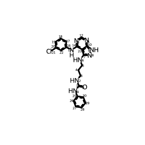 O=C(NCCCNc1n[nH]c2ncnc(Nc3cccc(Cl)c3)c12)Nc1ccccc1